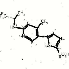 C[C@H](Nc1cc(C(F)(F)F)c(-c2cnc(C(=O)O)s2)cn1)C(F)(F)F